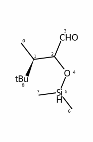 C[C@@H](C(C=O)O[SiH](C)C)C(C)(C)C